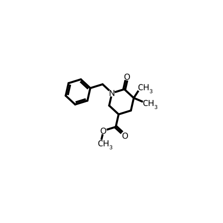 COC(=O)C1CN(Cc2ccccc2)C(=O)C(C)(C)C1